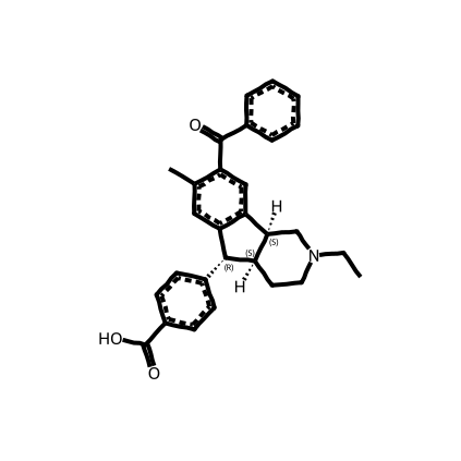 CCN1CC[C@H]2[C@H](c3ccc(C(=O)O)cc3)c3cc(C)c(C(=O)c4ccccc4)cc3[C@H]2C1